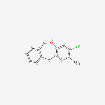 Cc1cc2c(cc1Cl)OCc1ccccc1C2